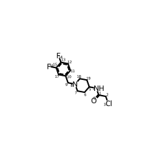 O=C(CCl)NC1CCN(Cc2ccc(F)c(F)c2)CC1